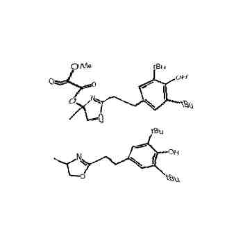 CC1COC(CCc2cc(C(C)(C)C)c(O)c(C(C)(C)C)c2)=N1.COC(=O)C(=O)OC1(C)COC(CCc2cc(C(C)(C)C)c(O)c(C(C)(C)C)c2)=N1